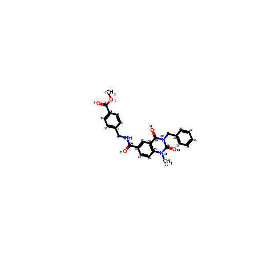 COC(=O)c1ccc(CNC(=O)c2ccc3c(c2)c(=O)n(Cc2ccccc2)c(=O)n3C)cc1